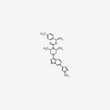 Cc1ccc([C@@H](C)OC(=O)N2[C@H](C)CN(c3cnn4cc(-c5cnn(C)c5)ccc34)C[C@@H]2C)cc1